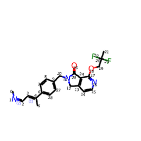 C/N=C\C=C(/C)c1ccc(CN2Cc3ccnc(OCC(C)(F)F)c3C2=O)cc1